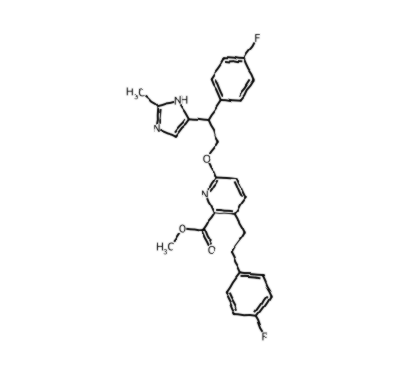 COC(=O)c1nc(OCC(c2ccc(F)cc2)c2cnc(C)[nH]2)ccc1CCc1ccc(F)cc1